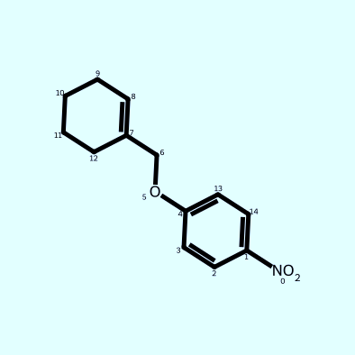 O=[N+]([O-])c1ccc(OCC2=CCCCC2)cc1